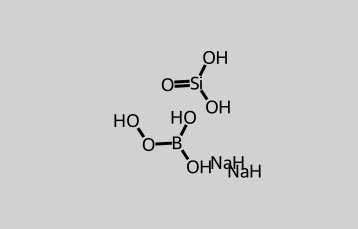 O=[Si](O)O.OOB(O)O.[NaH].[NaH]